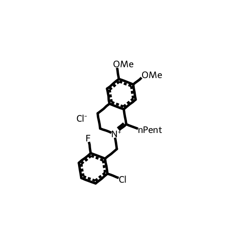 CCCCCC1=[N+](Cc2c(F)cccc2Cl)CCc2cc(OC)c(OC)cc21.[Cl-]